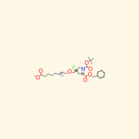 COC(=O)CCCC/C=C/COC[C@@]1(F)C[C@@H](C(=O)OCc2ccccc2)N(C(=O)OC(C)(C)C)C1